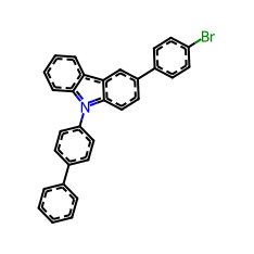 Brc1ccc(-c2ccc3c(c2)c2ccccc2n3-c2ccc(-c3ccccc3)cc2)cc1